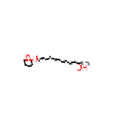 CCCC(O)CCCCCCCCCCOC1CCCCO1